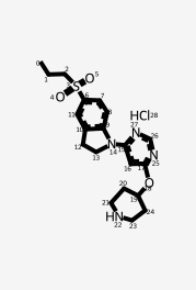 CCCS(=O)(=O)c1ccc2c(c1)CCN2c1cc(OC2CCNCC2)ncn1.Cl